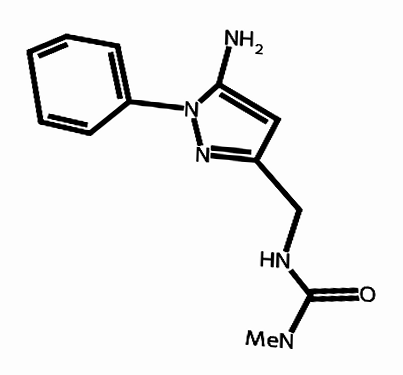 CNC(=O)NCc1cc(N)n(-c2ccccc2)n1